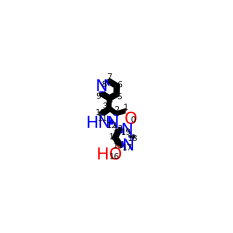 O=CC1C(c2cccnc2)=CNN1c1cc(O)ncn1